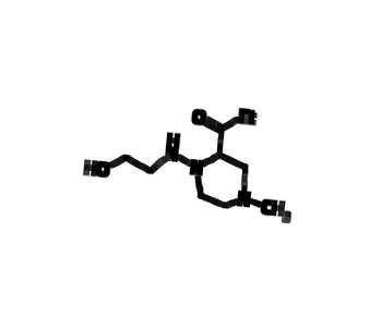 CCC(=O)C1CN(C)CCN1NCCO